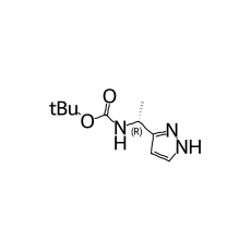 C[C@@H](NC(=O)OC(C)(C)C)c1cc[nH]n1